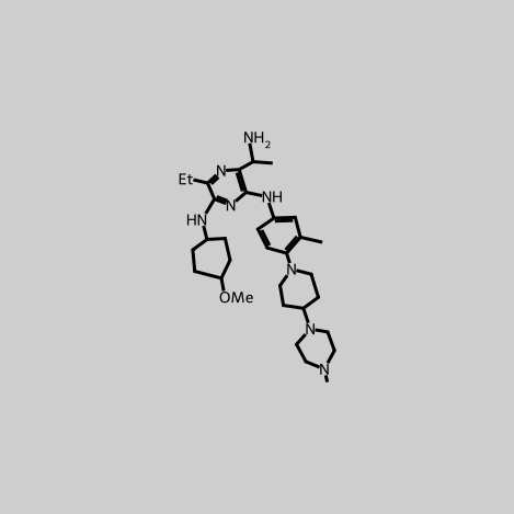 CCc1nc(C(C)N)c(Nc2ccc(N3CCC(N4CCN(C)CC4)CC3)c(C)c2)nc1NC1CCC(OC)CC1